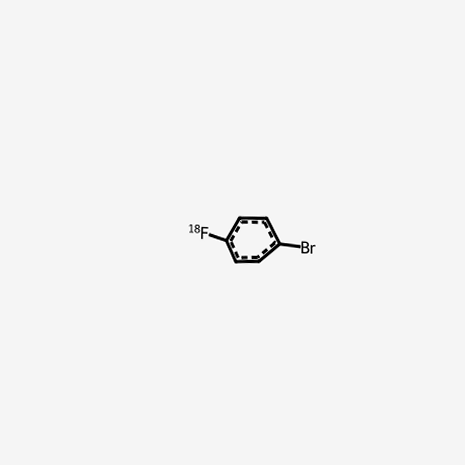 [18F]c1ccc(Br)cc1